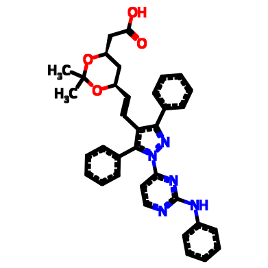 CC1(C)O[C@@H](CC(=O)O)C[C@@H](/C=C/c2c(-c3ccccc3)nn(-c3ccnc(Nc4ccccc4)n3)c2-c2ccccc2)O1